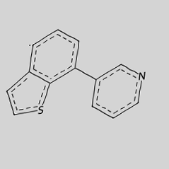 [c]1ccc(-c2cccnc2)c2sccc12